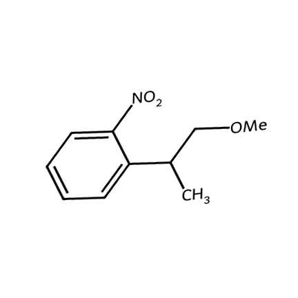 [CH2]OCC(C)c1ccccc1[N+](=O)[O-]